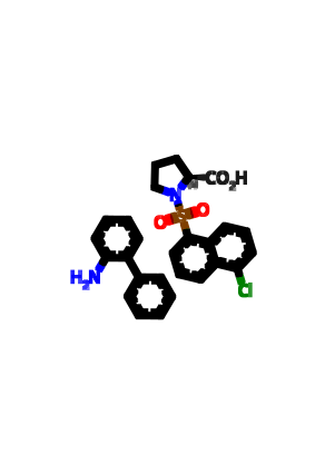 Nc1ccccc1-c1ccccc1.O=C(O)[C@@H]1CCCN1S(=O)(=O)c1cccc2c(Cl)cccc12